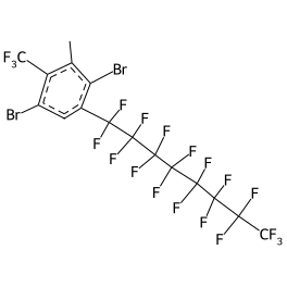 Cc1c(Br)c(C(F)(F)C(F)(F)C(F)(F)C(F)(F)C(F)(F)C(F)(F)C(F)(F)C(F)(F)F)cc(Br)c1C(F)(F)F